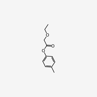 CCOCC(=O)Oc1ccc(C)cc1